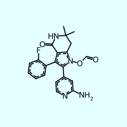 CC1(C)Cc2c(c(-c3ccccc3F)c(-c3ccnc(N)c3)n2OC=O)C(=O)N1